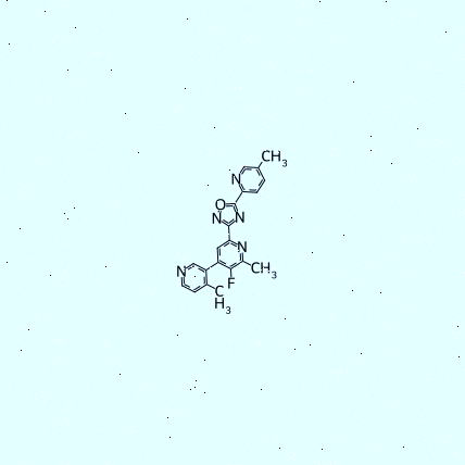 Cc1ccc(-c2nc(-c3cc(-c4cnccc4C)c(F)c(C)n3)no2)nc1